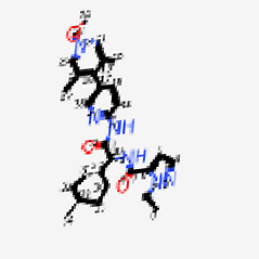 CCn1nccc1C(=O)N[C@H](C(=O)Nc1ccc(-c2c(C)c[n+](OC)cc2C)cn1)[C@H]1CC[C@H](C)CC1